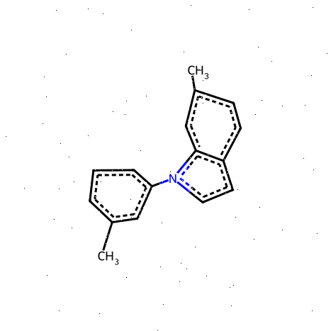 Cc1cccc(-n2ccc3ccc(C)cc32)c1